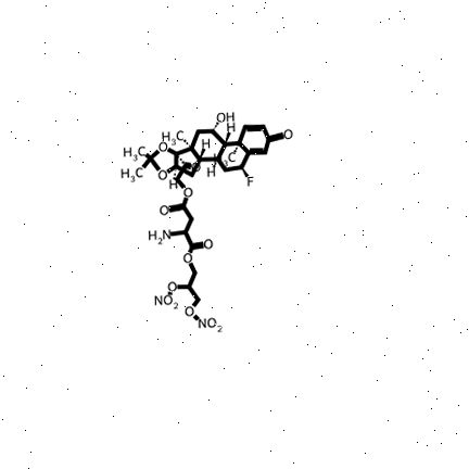 CC1(C)O[C@@H]2C[C@H]3[C@@H]4C[C@H](F)C5=CC(=O)C=C[C@]5(C)[C@H]4[C@@H](O)C[C@]3(C)[C@]2(C(=O)COC(=O)CC(N)C(=O)OCC(CO[N+](=O)[O-])O[N+](=O)[O-])O1